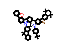 CC(C)(C)c1ccc(N2B3c4cc5c(cc4-n4c6ccc7c8ccccc8oc7c6c6ccc(c3c64)-c3cc4c(cc32)sc2cc3c(cc24)C(C)(C)CCC3(C)C)C(C)(C)c2ccccc2-5)cc1